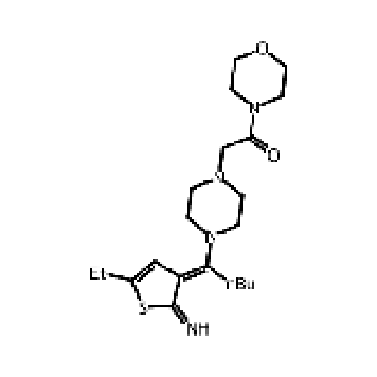 CCCC/C(=C1/C=C(CC)SC1=N)N1CCN(CC(=O)N2CCOCC2)CC1